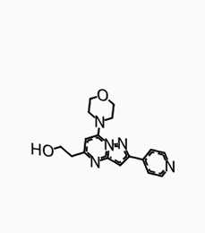 OCCc1cc(N2CCOCC2)n2nc(-c3ccncc3)cc2n1